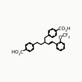 O=C(O)c1ccc(CCC(C=Cc2ccccc2OC(F)(F)F)Cc2ccc(C(=O)O)cc2)cc1